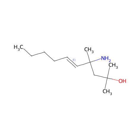 CCCC/C=C/C(C)(N)CC(C)(C)O